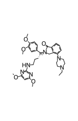 CCN1CCN(c2cccc3c2CN([C@H](CCCNc2nc(OC)cc(OC)n2)c2ccc(OC)c(OC)c2)C3=O)CC1